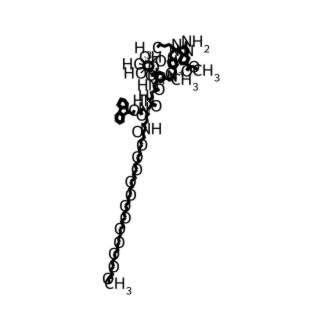 CCCCc1nc2c(N)nc3cc(C(=O)OC)ccc3c2n1Cc1ccc(C[N+](C)(C)Cc2ccc(O[C@H]3O[C@H](CO)[C@@H](O)[C@H](O)[C@@H]3O)c(NC(=O)CCNC(=O)[C@H](CCCCNC(=O)CCOCCOCCOCCOCCOCCOCCOCCOCCOCCOCCOCCOC)NC(=O)OCC3c4ccccc4-c4ccccc43)c2)cc1